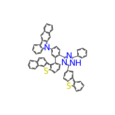 c1ccc(C2N=C(c3ccc(-n4c5ccccc5c5cc6ccccc6cc54)cc3-c3cccc4sc5c6ccccc6ccc5c34)N=C(c3ccc4sc5ccccc5c4c3)N2)cc1